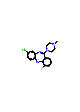 CN1CCN(C2=Nc3cc(Cl)ccc3Nc3c(F)cccc32)CC1